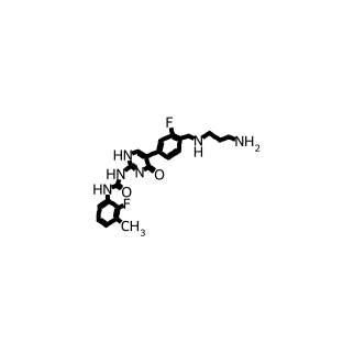 Cc1cccc(NC(=O)Nc2nc(=O)c(-c3ccc(CNCCCN)c(F)c3)c[nH]2)c1F